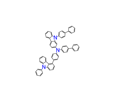 c1ccc(-c2ccc(N(c3ccc(-c4cccc5c4c4ccccc4n5-c4ccccc4)cc3)c3ccc4c5ccccc5n(-c5ccc(-c6ccccc6)cc5)c4c3)cc2)cc1